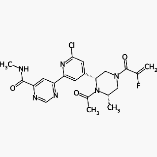 C=C(F)C(=O)N1C[C@H](C)N(C(C)=O)[C@H](c2cc(Cl)nc(-c3cc(C(=O)NC)ncn3)c2)C1